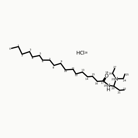 CCCCCCCCCCCCCCCCCC(=O)NC(CC)N(CC)CC.Cl